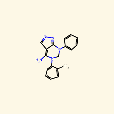 NC1=C2C=NN=C2N(c2ccccc2)CN1c1ccccc1C(F)(F)F